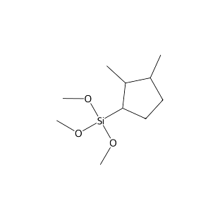 CO[Si](OC)(OC)C1CCC(C)C1C